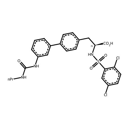 CCCNC(=O)Nc1cccc(-c2ccc(C[C@H](NS(=O)(=O)c3cc(Cl)ccc3Cl)C(=O)O)cc2)c1